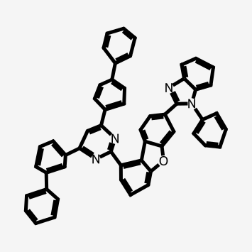 c1ccc(-c2ccc(-c3cc(-c4cccc(-c5ccccc5)c4)nc(-c4cccc5oc6cc(-c7nc8ccccc8n7-c7ccccc7)ccc6c45)n3)cc2)cc1